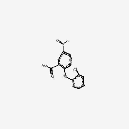 O=C(O)c1cc([N+](=O)[O-])ccc1Nc1ccccc1Cl